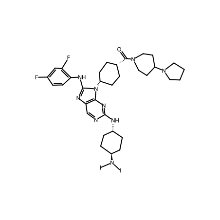 O=C([C@H]1CC[C@@H](n2c(Nc3ccc(F)cc3F)nc3cnc(N[C@H]4CC[C@H](N(I)I)CC4)nc32)CC1)N1CCC(N2CCCC2)CC1